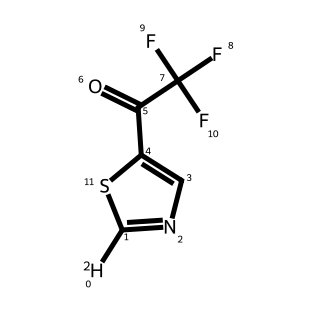 [2H]c1ncc(C(=O)C(F)(F)F)s1